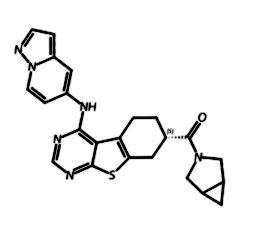 O=C([C@H]1CCc2c(sc3ncnc(Nc4ccn5nccc5c4)c23)C1)N1CC2CC2C1